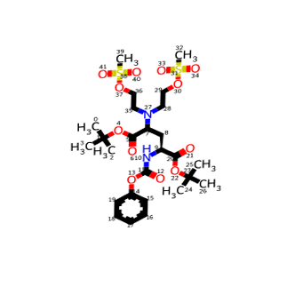 CC(C)(C)OC(=O)C(C[C@H](NC(=O)Oc1ccccc1)C(=O)OC(C)(C)C)N(CCOS(C)(=O)=O)CCOS(C)(=O)=O